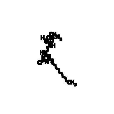 CCCCCCCCCCSc1nc(Cl)nc(NCCNC(=O)OC(C)(C)C)n1